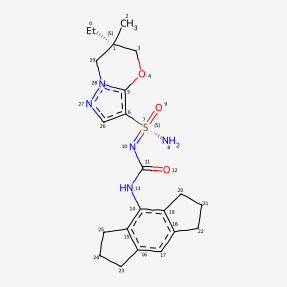 CC[C@]1(C)COc2c([S@@](N)(=O)=NC(=O)Nc3c4c(cc5c3CCC5)CCC4)cnn2C1